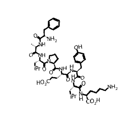 CC(C)C[C@H](NC(=O)[C@H](Cc1ccc(O)cc1)NC(=O)[C@H](CCC(=O)O)NC(=O)[C@@H]1CCCN1C(=O)[C@H](CC(C)C)NC(=O)[C@H](C)NC(=O)[C@@H](N)Cc1ccccc1)C(=O)N[C@@H](CCCCN)C(=O)O